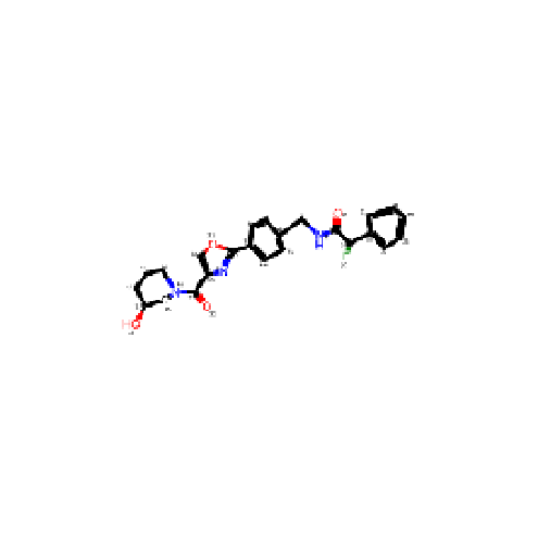 O=C(NCc1ccc(-c2nc(C(=O)N3CCCC(O)C3)co2)cc1)C(F)c1ccccc1